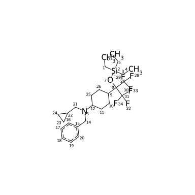 CC[Si](CC)(CC)OC(C1CCC(N(Cc2ccccc2)CC2CC2)CC1)(C(F)(F)F)C(F)(F)F